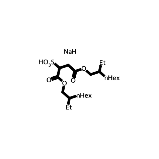 CCCCCCC(CC)COC(=O)CC(C(=O)OCC(CC)CCCCCC)S(=O)(=O)O.[NaH]